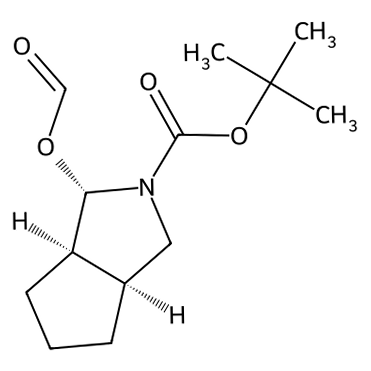 CC(C)(C)OC(=O)N1C[C@H]2CCC[C@H]2[C@@H]1OC=O